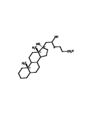 C[C@]12CCCCC1CCC1C2CC[C@@]2(C)C1CC[C@]2(O)CC(O)SCCC(=O)O